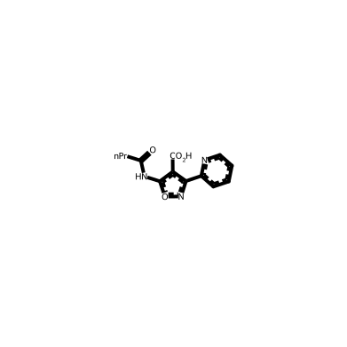 CCCC(=O)Nc1onc(-c2ccccn2)c1C(=O)O